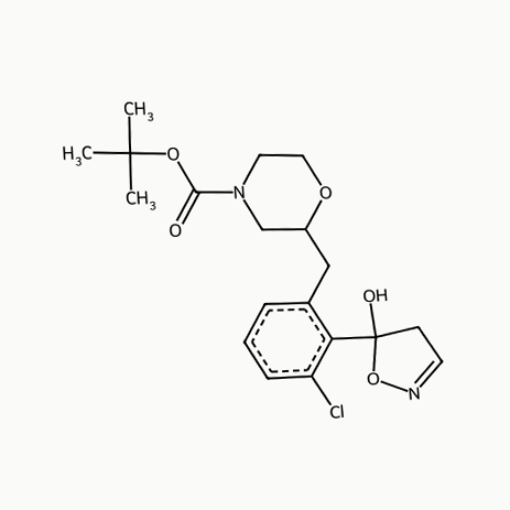 CC(C)(C)OC(=O)N1CCOC(Cc2cccc(Cl)c2C2(O)CC=NO2)C1